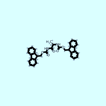 C[C@@H](NC(=O)OCC1c2ccccc2-c2ccccc21)C(=O)NC(=O)OCC1c2ccccc2-c2ccccc21